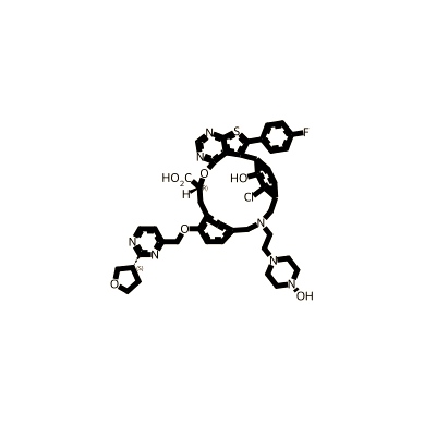 O=C(O)[C@H]1Cc2cc(ccc2OCc2ccnc([C@@H]3CCOC3)n2)CN(CCN2CCN(O)CC2)Cc2ccc(c(O)c2Cl)-c2c(-c3ccc(F)cc3)sc3ncnc(c23)O1